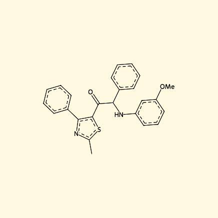 COc1cccc(NC(C(=O)c2sc(C)nc2-c2ccccc2)c2ccccc2)c1